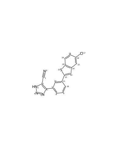 N#Cc1[nH]nnc1-c1cccc(-c2cc3cc(Cl)ccc3s2)c1